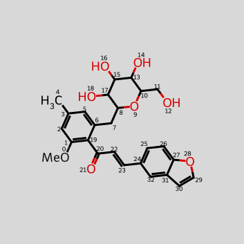 COc1cc(C)cc(CC2OC(CO)C(O)C(O)C2O)c1C(=O)/C=C/c1ccc2occc2c1